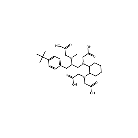 CN(CC(=O)O)C(Cc1ccc(C(C)(C)C)cc1)CN(CC(=O)O)C1CCCCC1N(CC(=O)O)CC(=O)O